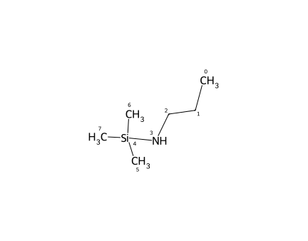 CCCN[Si](C)(C)C